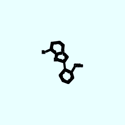 COc1ccccc1-c1cn2cccc(Br)c2n1